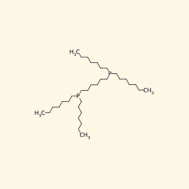 CCCCCCCP(CCCCCCC)CCCCCCP(CCCCCCC)CCCCCCC